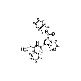 CC[C@@H](NC(=O)c1cc(C(=O)N2Cc3ccccc3C2)n2c1COCC2)c1ccccc1